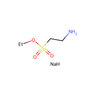 CCOS(=O)(=O)CCN.[NaH]